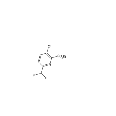 CCOC(=O)c1nc(C(F)F)ccc1Cl